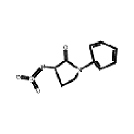 O=C1C(N=S(=O)=O)CCN1c1ccccc1